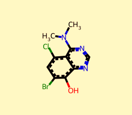 CN(C)c1ncnc2c(O)c(Br)cc(Cl)c12